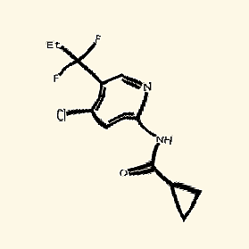 CCC(F)(F)c1cnc(NC(=O)C2CC2)cc1Cl